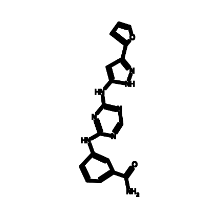 NC(=O)c1cccc(Nc2ncnc(Nc3cc(-c4ccco4)n[nH]3)n2)c1